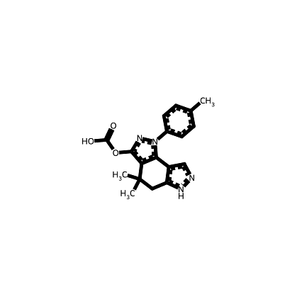 Cc1ccc(-n2nc(OC(=O)O)c3c2-c2cn[nH]c2CC3(C)C)cc1